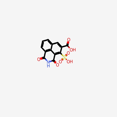 O=C(O)c1cc2cccc3c2c(c1S(=O)(=O)O)C(=O)NC3=O